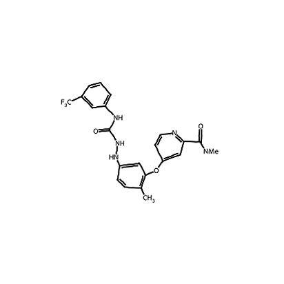 CNC(=O)c1cc(Oc2cc(NNC(=O)Nc3cccc(C(F)(F)F)c3)ccc2C)ccn1